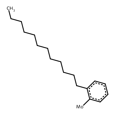 CCCCCCCCCCCCc1cccc[c]1[Mo]